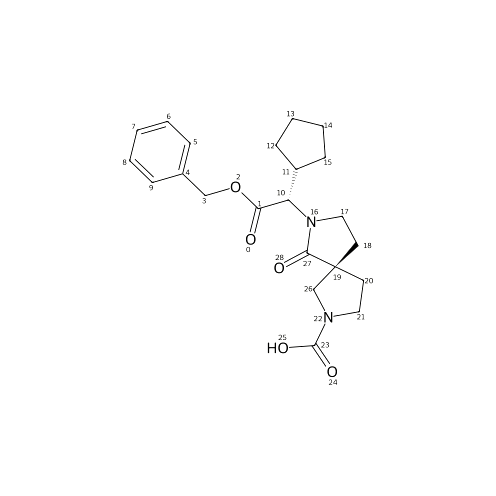 O=C(OCc1ccccc1)[C@H](C1CCCC1)N1CC[C@]2(CCN(C(=O)O)C2)C1=O